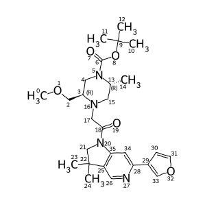 COC[C@H]1CN(C(=O)OC(C)(C)C)[C@H](C)CN1CC(=O)N1CC(C)(C)c2cnc(-c3ccoc3)cc21